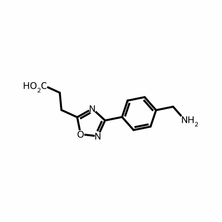 NCc1ccc(-c2noc(CCC(=O)O)n2)cc1